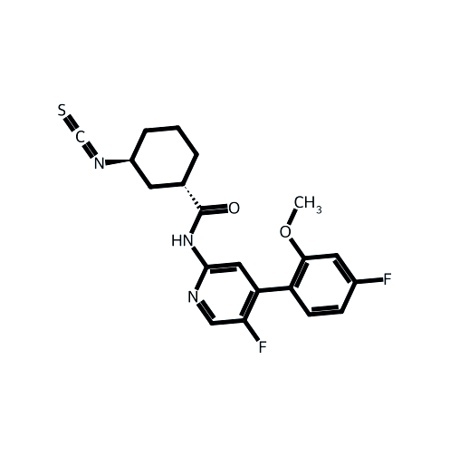 COc1cc(F)ccc1-c1cc(NC(=O)[C@H]2CCC[C@H](N=C=S)C2)ncc1F